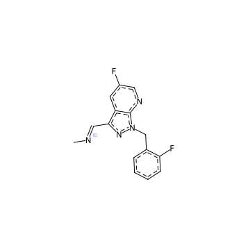 C/N=C/c1nn(Cc2ccccc2F)c2ncc(F)cc12